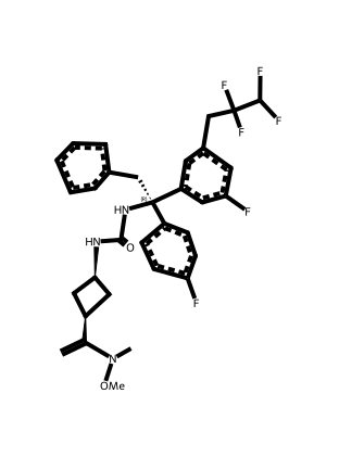 C=C([C@H]1C[C@@H](NC(=O)N[C@](Cc2ccccc2)(c2ccc(F)cc2)c2cc(F)cc(CC(F)(F)C(F)F)c2)C1)N(C)OC